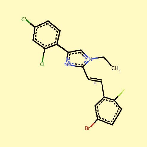 CCn1cc(-c2ccc(Cl)cc2Cl)nc1/C=C/c1cc(Br)ccc1F